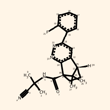 CC(C)(C#N)NC(=O)[C@@]12CC[C@@H](c3cc(-c4ccccc4F)nnc31)C2(C)C